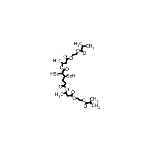 C=C(C)C(=O)OCCOC(=O)CC(C)OC(=O)CCC([SeH])C([SeH])C(=O)OC(C)CC(=O)OCCOC(=O)C(=C)C